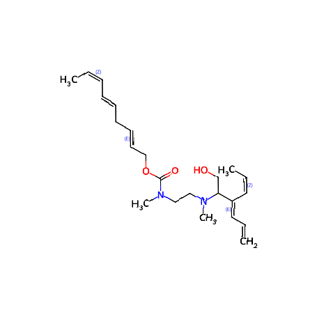 C=C/C=C(\C=C/C)C(CO)N(C)CCN(C)C(=O)OC/C=C/CC=C/C=C\C